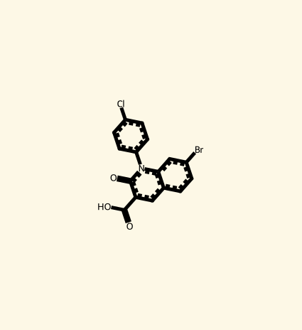 O=C(O)c1cc2ccc(Br)cc2n(-c2ccc(Cl)cc2)c1=O